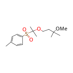 COC(C)(C)CCOC(C)(C)S(=O)(=O)c1ccc(C)cc1